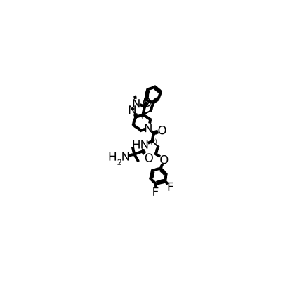 CN1N=C2CCN(C(=O)[C@@H](CCOc3ccc(F)c(F)c3)NC(=O)C(C)(C)N)C[C@@]2(Cc2ccccc2)C1=O